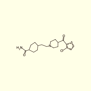 NC(=O)C1CCC(CCN2CCC(C(=O)c3sccc3Cl)CC2)CC1